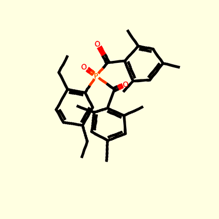 CCc1ccc(CC)c(P(=O)(C(=O)c2c(C)cc(C)cc2C)C(=O)c2c(C)cc(C)cc2C)c1